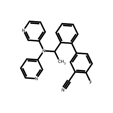 CC(c1ccccc1-c1ccc(F)c(C#N)c1)N(c1cccnc1)c1cccnc1